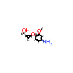 COc1cc(N)ccc1O[C@@H]1C[C@@H]1CO